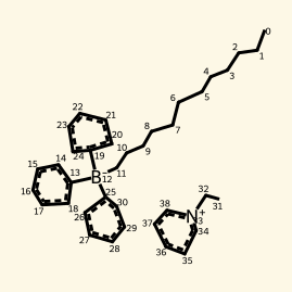 CCCCCCCCCCCC[B-](c1ccccc1)(c1ccccc1)c1ccccc1.CC[n+]1ccccc1